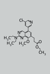 CCOC(=O)CCc1cc(-c2cncc(Cl)c2)c2cnc(N(CC)CC)nc2c1OC